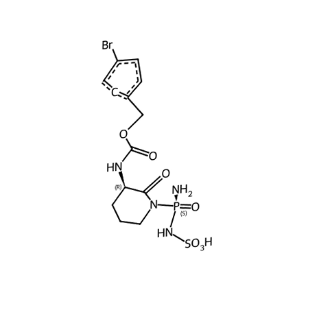 N[P@@](=O)(NS(=O)(=O)O)N1CCC[C@@H](NC(=O)OCc2ccc(Br)cc2)C1=O